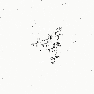 CSSc1ccncc1C(=O)N(CCCNC(=O)C(CCCCNC(=O)CN(C)C)NC(=O)CN(C)C)CCCNC(=O)C(CCCCNC(=O)CN(C)C)NC(=O)CN(C)C